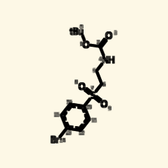 CC(C)(C)OC(=O)NCCS(=O)(=O)c1ccc(Br)cc1